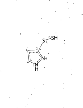 SSc1cc[nH]n1